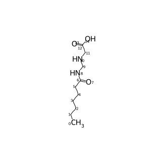 CCCCCCC(=O)NCNCC(=O)O